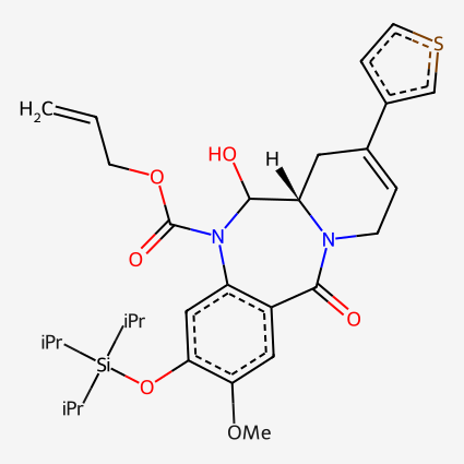 C=CCOC(=O)N1c2cc(O[Si](C(C)C)(C(C)C)C(C)C)c(OC)cc2C(=O)N2CC=C(c3ccsc3)C[C@H]2C1O